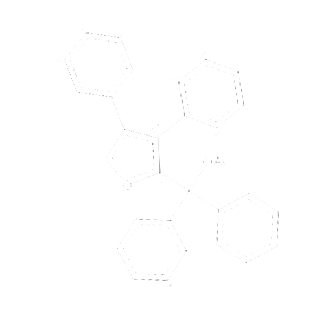 CC(=O)OC(c1ccccc1)(c1ccccc1)c1occ(-c2ccccc2)c1-c1ccccc1